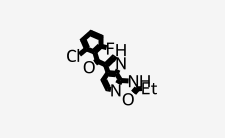 CCC(=O)Nc1nccc2c(C(=O)c3c(F)cccc3Cl)c[nH]c12